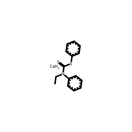 CCN(C(=S)Sc1ccccc1)c1ccccc1.[CaH2]